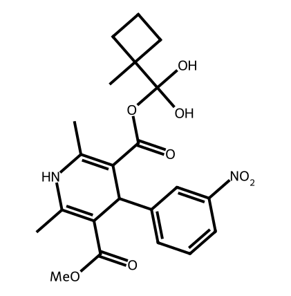 COC(=O)C1=C(C)NC(C)=C(C(=O)OC(O)(O)C2(C)CCC2)C1c1cccc([N+](=O)[O-])c1